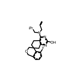 C=CCN(CC(C)C)c1nc(O)nc2c1CCC1(COCc3cccc(F)c31)C2